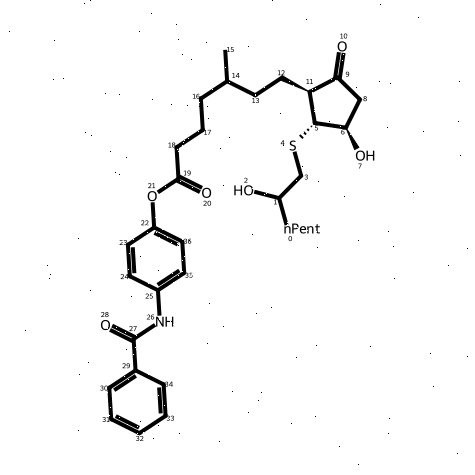 CCCCCC(O)CS[C@H]1[C@H](O)CC(=O)[C@@H]1CCC(C)CCCC(=O)Oc1ccc(NC(=O)c2ccccc2)cc1